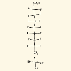 CC[N+](C)(C(C)C)C(C)C.O=S(=O)(O)C(F)(F)C(F)(F)C(F)(F)C(F)(F)C(F)(F)C(F)(F)C(F)(F)C(F)(F)F